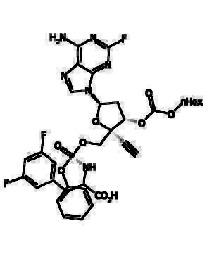 C#C[C@]1(CO[P@@](=O)(NC(Cc2cc(F)cc(F)c2)C(=O)O)Oc2ccccc2)O[C@@H](n2cnc3c(N)nc(F)nc32)C[C@@H]1OC(=O)OCCCCCC